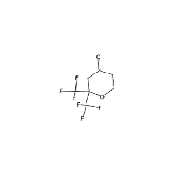 O=C1CCOC(C(F)(F)F)(C(F)(F)F)C1